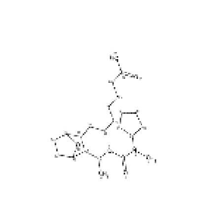 CC(OC(=O)N(C)C1CCCC1)C1C2CCC(O2)C1CCCCCCC(=O)O